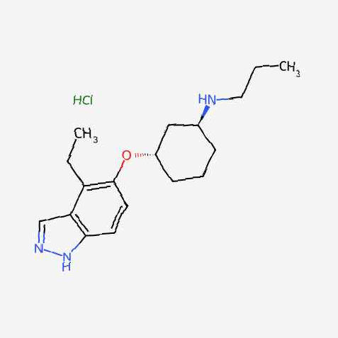 CCCN[C@H]1CCC[C@H](Oc2ccc3[nH]ncc3c2CC)C1.Cl